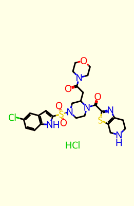 Cl.O=C(CC1CN(S(=O)(=O)c2cc3cc(Cl)ccc3[nH]2)CCN1C(=O)c1nc2c(s1)CNCC2)N1CCOCC1